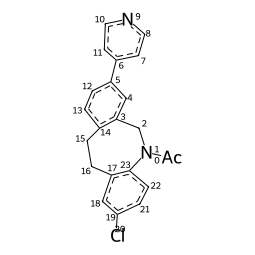 CC(=O)N1Cc2cc(-c3ccncc3)ccc2CCc2cc(Cl)ccc21